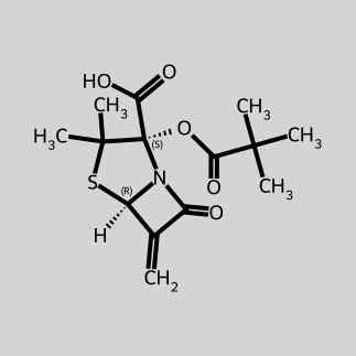 C=C1C(=O)N2[C@@H]1SC(C)(C)[C@@]2(OC(=O)C(C)(C)C)C(=O)O